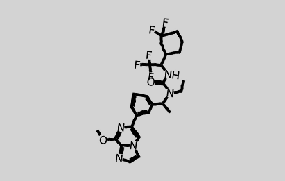 CCN(C(=O)NC(C1CCCC(F)(F)C1)C(F)(F)F)C(C)c1cccc(-c2cn3ccnc3c(OC)n2)c1